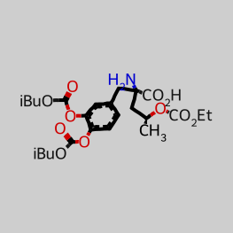 CCOC(=O)O[C@@H](C)CC(N)(Cc1ccc(OC(=O)OCC(C)C)c(OC(=O)OCC(C)C)c1)C(=O)O